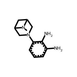 CN1C2CC1CN(c1cccc(N)c1N)C2